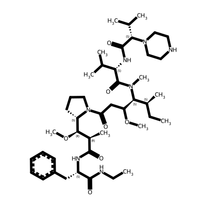 CCNC(=O)[C@H](Cc1ccccc1)NC(=O)[C@H](C)[C@@H](OC)[C@@H]1CCCN1C(=O)CC(OC)[C@H]([C@@H](C)CC)N(C)C(=O)[C@@H](NC(=O)[C@H](C(C)C)N1CCNCC1)C(C)C